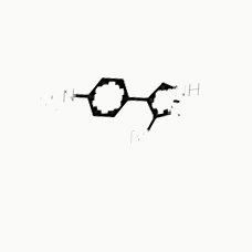 O=[N+]([O-])c1ccc(-c2c[nH]nc2Br)cc1